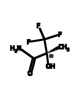 C[C@](O)(C(N)=O)C(F)(F)F